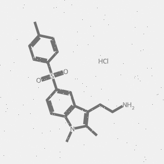 Cc1ccc(S(=O)(=O)c2ccc3c(c2)c(CCN)c(C)n3C)cc1.Cl